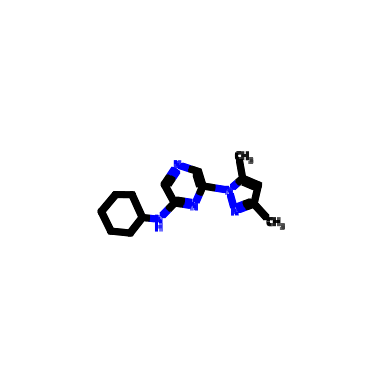 Cc1cc(C)n(-c2cncc(NC3CCCCC3)n2)n1